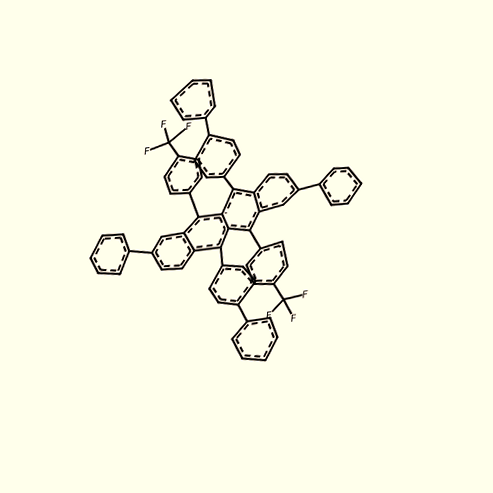 FC(F)(F)c1ccc(-c2c3cc(-c4ccccc4)ccc3c(-c3ccc(-c4ccccc4)cc3)c3c(-c4ccc(C(F)(F)F)cc4)c4cc(-c5ccccc5)ccc4c(-c4ccc(-c5ccccc5)cc4)c23)cc1